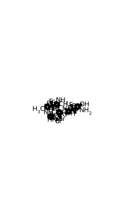 Brc1ccccc1N(Br)C(Br)(Br)Nc1ccccc1.Cc1ccc(C(c2ccc(C)c(N)c2)(C(F)(F)F)C(F)(F)F)cc1N.Nc1cc(C(c2ccc(O)c(N)c2)(C(F)(F)F)C(F)(F)F)ccc1O